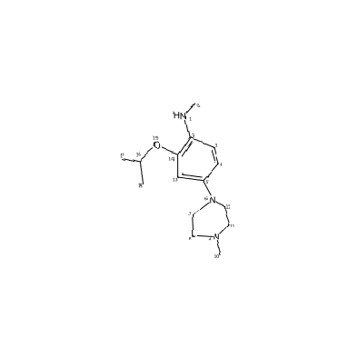 CNc1ccc(N2CCN(C)CC2)cc1OC(C)C